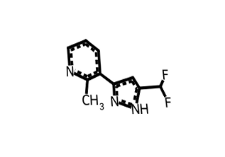 Cc1ncccc1-c1cc(C(F)F)[nH]n1